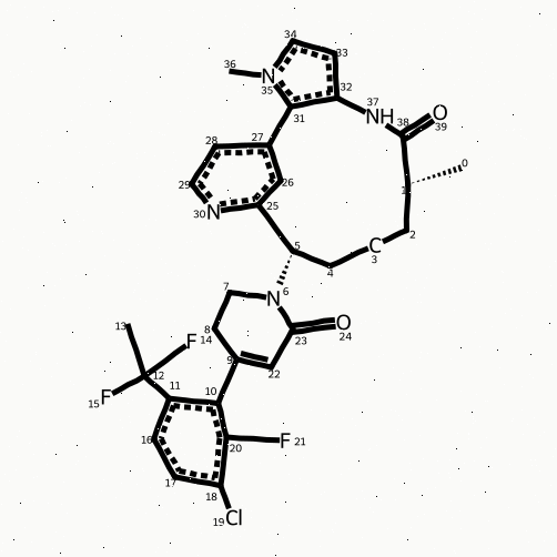 C[C@@H]1CCC[C@H](N2CCC(c3c(C(C)(F)F)ccc(Cl)c3F)=CC2=O)c2cc(ccn2)-c2c(ccn2C)NC1=O